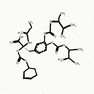 CCC(C)N[C@@](Cc1ccc(OC(=O)OC(C)C(C)C)c(OC(=O)OC(C)C(C)C)c1)(OC(=O)OC1CCCCC1)C(=O)O